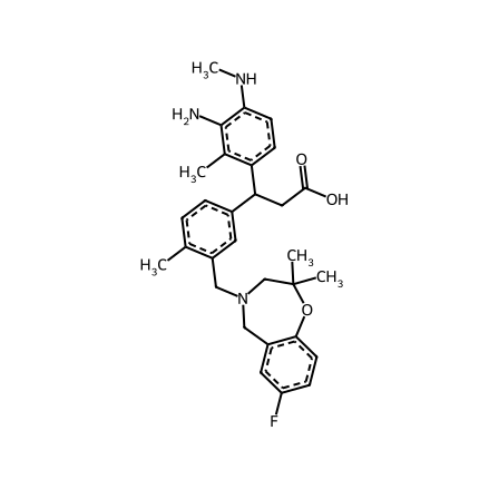 CNc1ccc(C(CC(=O)O)c2ccc(C)c(CN3Cc4cc(F)ccc4OC(C)(C)C3)c2)c(C)c1N